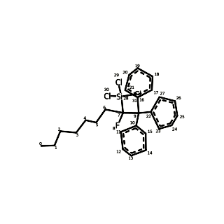 CCCCCCCC(F)(C(c1ccccc1)(c1ccccc1)c1ccccc1)[Si](Cl)(Cl)Cl